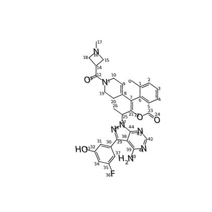 Cc1ccccc1/C(C1=CCN(C(=O)C2CN(C)C2)CC1)=C(\OC=O)C(C)n1nc(-c2cc(O)cc(F)c2)c2c(N)ncnc21